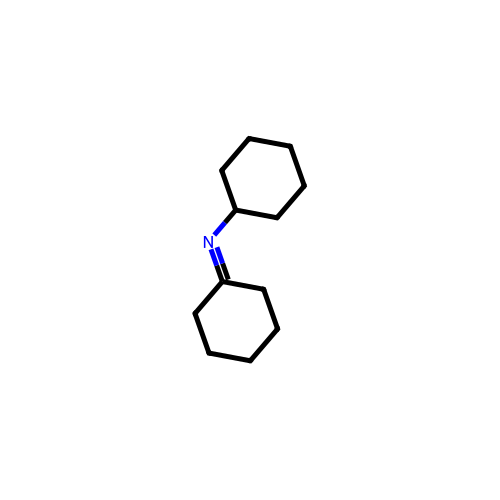 C1CCC(=NC2CCCCC2)CC1